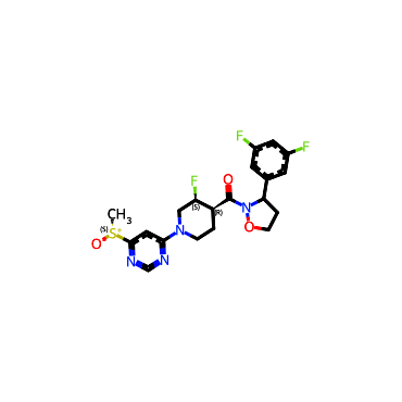 C[S@@+]([O-])c1cc(N2CC[C@H](C(=O)N3OCCC3c3cc(F)cc(F)c3)[C@H](F)C2)ncn1